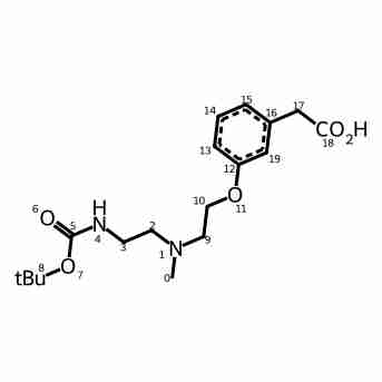 CN(CCNC(=O)OC(C)(C)C)CCOc1cccc(CC(=O)O)c1